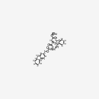 CC(C)[C@H](NC(=O)OCc1ccc2c(c1)Cc1ccccc1-2)C(=O)N(CC(=O)OC(C)(C)C)C1Cc2ccccc2C1